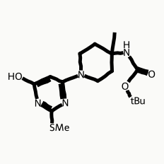 CSc1nc(O)cc(N2CCC(C)(NC(=O)OC(C)(C)C)CC2)n1